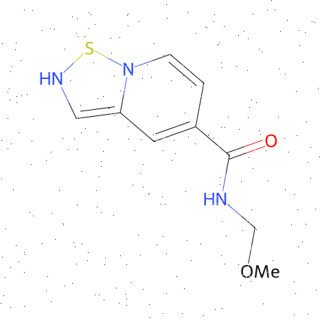 COCNC(=O)C1=CC2=CNSN2C=C1